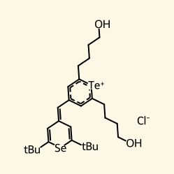 CC(C)(C)C1=CC(=Cc2cc(CCCCO)[te+]c(CCCCO)c2)C=C(C(C)(C)C)[Se]1.[Cl-]